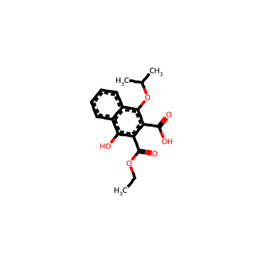 CCOC(=O)c1c(C(=O)O)c(OC(C)C)c2ccccc2c1O